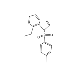 CCc1cccc2ccn(S(=O)(=O)c3ccc(C)cc3)c12